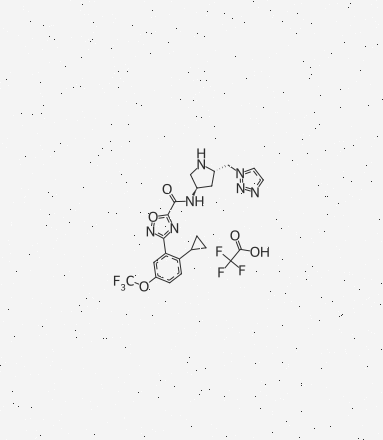 O=C(N[C@H]1CN[C@H](Cn2ccnn2)C1)c1nc(-c2cc(OC(F)(F)F)ccc2C2CC2)no1.O=C(O)C(F)(F)F